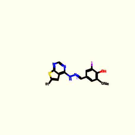 COc1cc(/C=N/Nc2ncnc3sc(C(C)C)cc23)cc(I)c1O